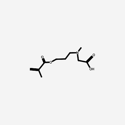 C=C(C)C(=O)OCCCN(C)CC(=O)O